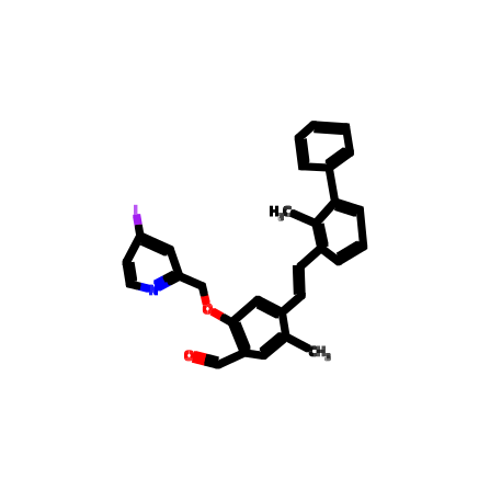 Cc1cc(C=O)c(OCc2cc(I)ccn2)cc1/C=C/c1cccc(-c2ccccc2)c1C